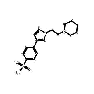 CS(=O)(=O)c1ccc(-c2cnn(CCN3CCCCC3)c2)cc1